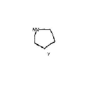 C1CCNC1.[Y]